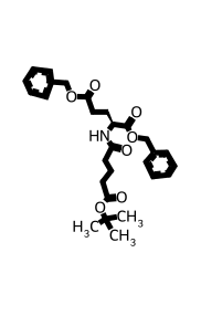 CC(C)(C)OC(=O)CCCC(=O)N[C@@H](CCC(=O)OCc1ccccc1)C(=O)OCc1ccccc1